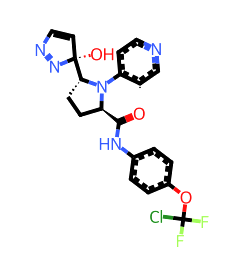 O=C(Nc1ccc(OC(F)(F)Cl)cc1)[C@H]1CC[C@H]([C@]2(O)C=CN=N2)N1c1[c]cncc1